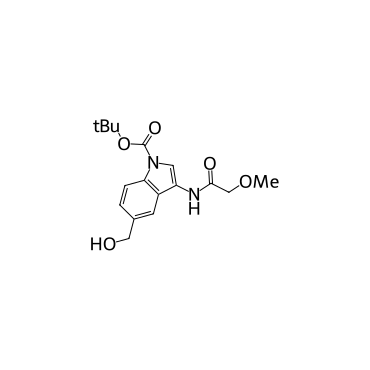 COCC(=O)Nc1cn(C(=O)OC(C)(C)C)c2ccc(CO)cc12